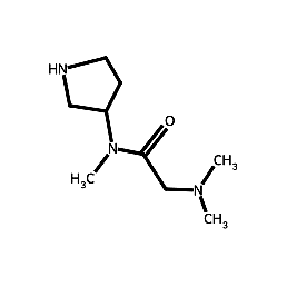 CN(C)CC(=O)N(C)C1CCNC1